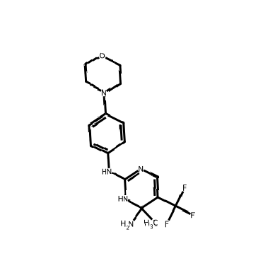 CC1(N)NC(Nc2ccc(N3CCOCC3)cc2)=NC=C1C(F)(F)F